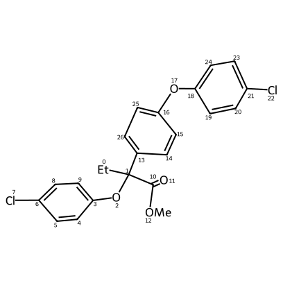 CCC(Oc1ccc(Cl)cc1)(C(=O)OC)c1ccc(Oc2ccc(Cl)cc2)cc1